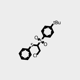 CC(C)(C)c1ccc(S(=O)(=O)C(CCl)Sc2ccccc2)cc1